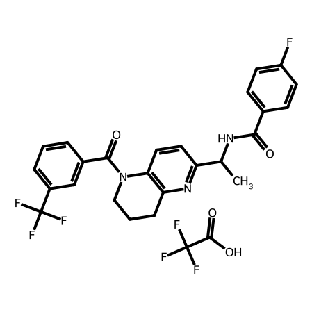 CC(NC(=O)c1ccc(F)cc1)c1ccc2c(n1)CCCN2C(=O)c1cccc(C(F)(F)F)c1.O=C(O)C(F)(F)F